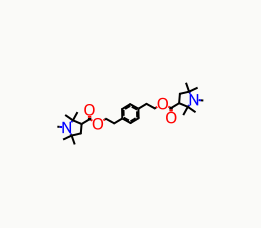 CN1C(C)(C)CC(C(=O)OCCc2ccc(CCOC(=O)C3CC(C)(C)N(C)C3(C)C)cc2)C1(C)C